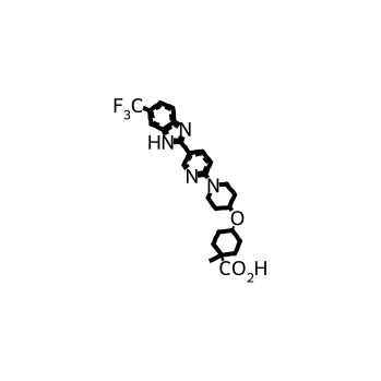 C[C@]1(C(=O)O)CC[C@H](OC2CCN(c3ccc(-c4nc5ccc(C(F)(F)F)cc5[nH]4)cn3)CC2)CC1